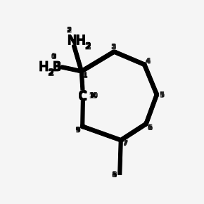 BC1(N)CCCCC(C)CC1